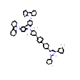 Cc1cccc(-c2cc(-c3ccc(-c4ccc(-c5cc(C)c(-n6c7ccc(-n8c9ccccc9c9ccccc98)cc7c7cc(-n8c9ccccc9c9ccccc98)ccc76)c(C)c5)cc4)cc3)nc(-c3cccc(C)c3)n2)c1